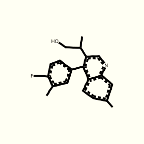 Cc1ccc2c(-c3ccc(F)c(C)c3)c(C(C)CO)cnc2c1